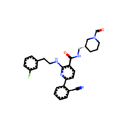 N#Cc1ccccc1-c1ccc(C(=O)NC[C@H]2CCCN([C]=O)C2)c(NCCc2cccc(F)c2)n1